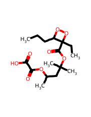 CCCC1OOC1(CC)C(=O)OC(C)(C)CC(C)OC(=O)C(=O)O